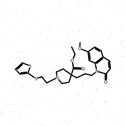 CCOC(=O)C1(CCCn2c(=O)ccc3ccc(OC)cc32)CCN(CCSc2cccs2)CC1